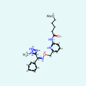 COCCCCC(=O)Nc1cccc(CO/N=C(/c2ccccc2)c2n[nH]n2C)n1